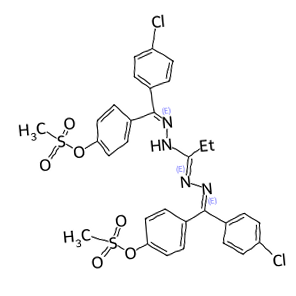 CC/C(=N\N=C(\c1ccc(Cl)cc1)c1ccc(OS(C)(=O)=O)cc1)N/N=C(/c1ccc(Cl)cc1)c1ccc(OS(C)(=O)=O)cc1